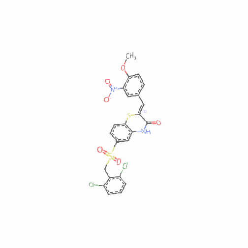 COc1ccc(/C=C2\Sc3ccc(S(=O)(=O)Cc4c(Cl)cccc4Cl)cc3NC2=O)cc1[N+](=O)[O-]